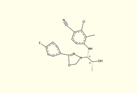 Cc1c(N[C@H]([C@@H](C)O)N2COC(c3ccc(F)cc3)=N2)ccc(C#N)c1Cl